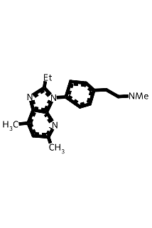 CCc1nc2c(C)cc(C)nc2n1-c1ccc(CCNC)cc1